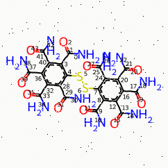 NC(=O)c1c(SSc2c(C(N)=O)c(C(N)=O)c(C(N)=O)c(C(N)=O)c2C(N)=O)c(C(N)=O)c(C(N)=O)c(C(N)=O)c1C(N)=O